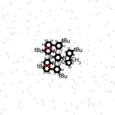 CC(C)(C)c1ccc2c(c1)B1c3ccc(C(C)(C)C)cc3N(c3ccc(C(C)(C)C)cc3-c3ccccc3)c3cc(N4c5ccc(C(C)(C)C)cc5C5(C)CCCC45C)cc(c31)N2c1ccc(C(C)(C)C)cc1-c1ccccc1